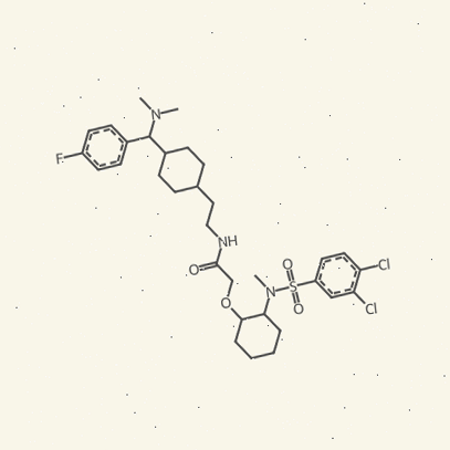 CN(C)C(c1ccc(F)cc1)C1CCC(CCNC(=O)COC2CCCCC2N(C)S(=O)(=O)c2ccc(Cl)c(Cl)c2)CC1